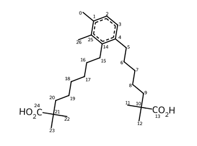 Cc1ccc(CCCCCC(C)(C)C(=O)O)c(CCCCCCC(C)(C)C(=O)O)c1C